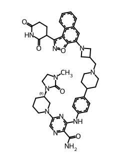 CN1CCN([C@@H]2CCCN(c3cnc(C(N)=O)c(Nc4ccc(C5CCN(CC6CN(c7cc8ccccc8c8c(C9CCC(=O)NC9=O)noc78)C6)CC5)cc4)n3)C2)C1=O